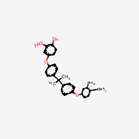 Bc1ccc(Oc2ccc(C(C)(C)c3ccc(Oc4ccc(O)c(O)c4)cc3)cc2)cc1B